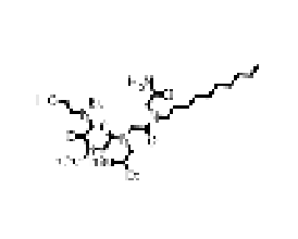 CCCCCCCCCCN(CC(=O)N(CC(=O)N(CCCCCCCCCI)CC(N)=O)CC(CC)CCCC)C(=O)CN(CC)CCO